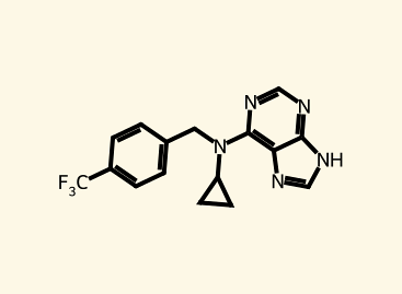 FC(F)(F)c1ccc(CN(c2ncnc3[nH]cnc23)C2CC2)cc1